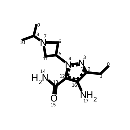 CCc1nn(C2CN(C(C)C)C2)c(C(N)=O)c1N